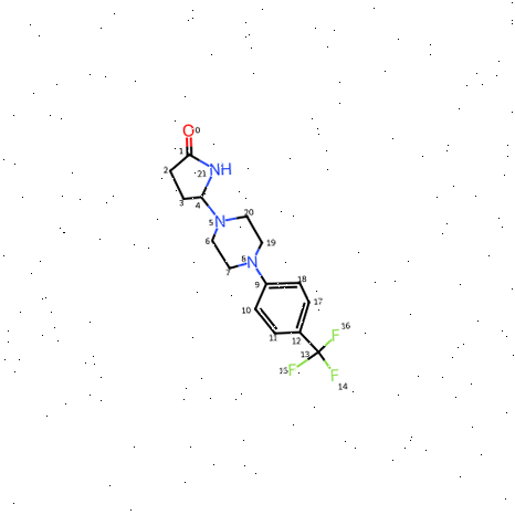 O=C1CCC(N2CCN(c3ccc(C(F)(F)F)cc3)CC2)N1